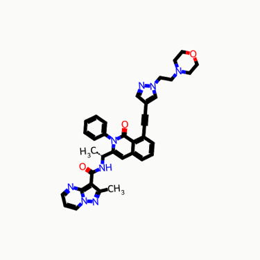 Cc1nn2cccnc2c1C(=O)N[C@H](C)c1cc2cccc(C#Cc3cnn(CCN4CCOCC4)c3)c2c(=O)n1-c1ccccc1